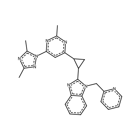 Cc1nc(C2CC2c2nc3ccccc3n2Cc2ccccn2)cc(-n2nc(C)nc2C)n1